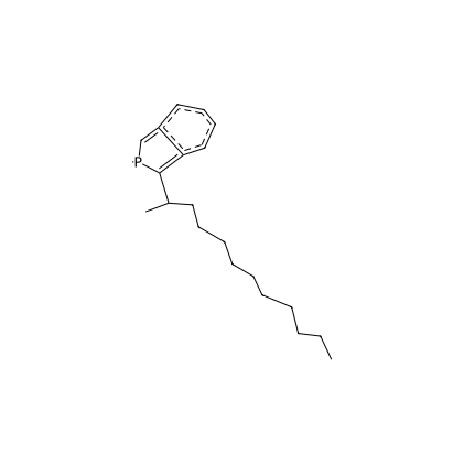 CCCCCCCCCCC(C)C1=c2ccccc2=C[P]1